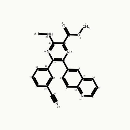 COC(=O)c1nc(-c2ccc3ncccc3c2)c(-c2cccc(C#N)c2)nc1NI